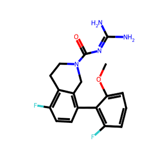 COc1cccc(F)c1-c1ccc(F)c2c1CN(C(=O)N=C(N)N)CC2